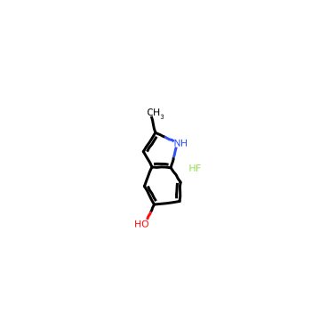 Cc1cc2cc(O)ccc2[nH]1.F